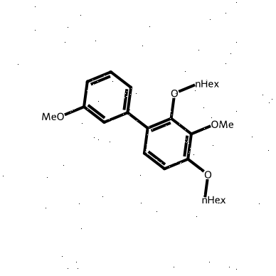 CCCCCCOc1ccc(-c2cccc(OC)c2)c(OCCCCCC)c1OC